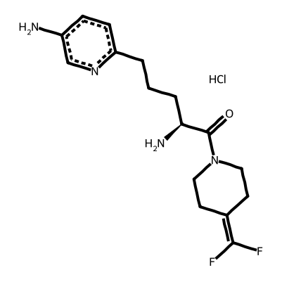 Cl.Nc1ccc(CCC[C@H](N)C(=O)N2CCC(=C(F)F)CC2)nc1